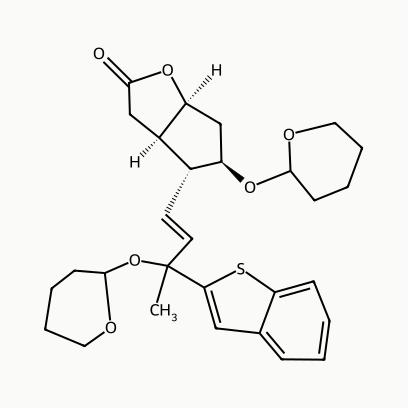 CC(/C=C/[C@@H]1[C@H]2CC(=O)O[C@H]2C[C@H]1OC1CCCCO1)(OC1CCCCO1)c1cc2ccccc2s1